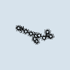 c1cc(-c2ccc3nc(-c4ccc(-c5ccc(-c6nc7ccccc7s6)cc5)cc4)c4ccc5ccccc5c4c3c2)cc(-n2c3ccccc3c3ccccc32)c1